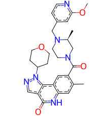 COc1cc(CN2CCN(C(=O)c3cc4c(cc3C)[nH]c(=O)c3cnn(C5CCOCC5)c34)C[C@@H]2C)ccn1